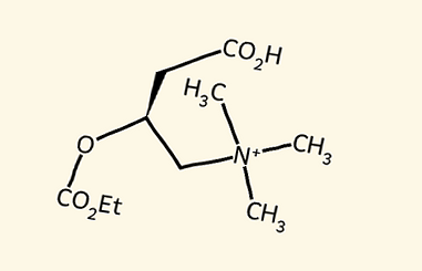 CCOC(=O)O[C@@H](CC(=O)O)C[N+](C)(C)C